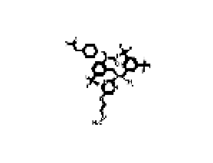 CCN(C[C@H]1CC[C@H](CC(=O)O)CC1)c1ccc(C(F)(F)F)cc1CN(c1ncc(OCCOC)cn1)[C@@H](C)c1cc(C(F)(F)F)cc(C(F)(F)F)c1